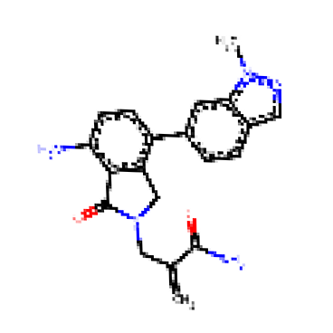 C=C(CN1Cc2c(-c3ccc4cnn(C)c4c3)ccc(N)c2C1=O)C(N)=O